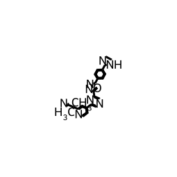 CC(C)(C#N)c1cc(-c2cncc(-c3nnc(-c4ccc(C5=NCCN5)cc4)o3)n2)ccn1